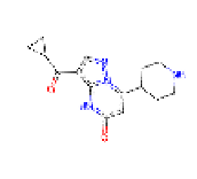 O=C(c1cnn2c(C3CCNCC3)cc(=O)[nH]c12)C1CC1